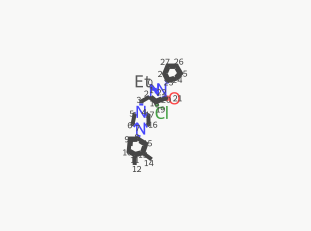 CCn1c(CN2CCN(c3ccc(C)c(C)c3)CC2)c(Cl)c(=O)n1-c1ccccc1